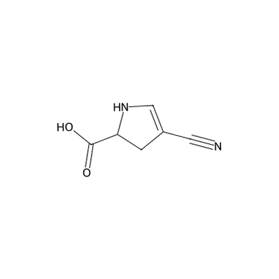 N#CC1=CNC(C(=O)O)C1